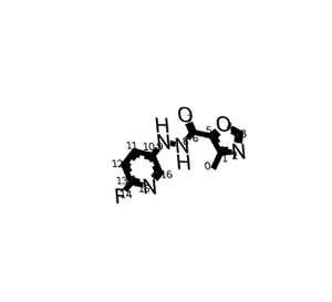 Cc1ncoc1C(=O)NNc1ccc(F)nc1